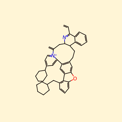 C=CC1=NC2CC(=C)[n+]3ccc(C4CCCCC4)cc3-c3cc4c(cc3CCC2c2ccccc21)oc1cccc(CC2CCCCC2)c14